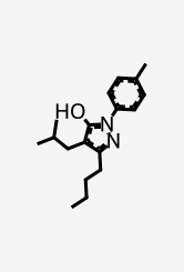 CCCCc1nn(-c2ccc(C)cc2)c(O)c1CC(C)C